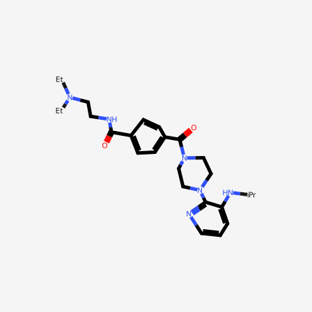 CCN(CC)CCNC(=O)c1ccc(C(=O)N2CCN(c3ncccc3NC(C)C)CC2)cc1